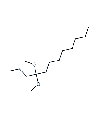 CCCCCCCCC(CCC)(OC)OC